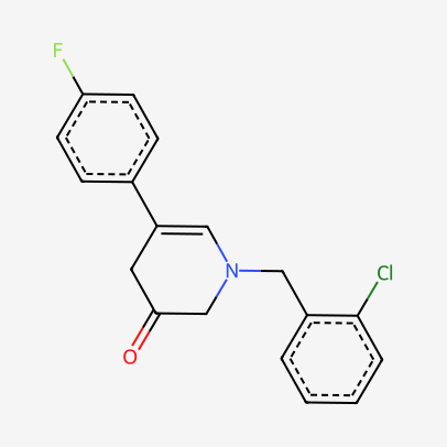 O=C1CC(c2ccc(F)cc2)=CN(Cc2ccccc2Cl)C1